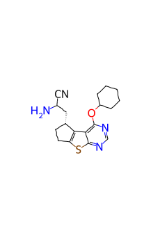 N#CC(N)C[C@H]1CCc2sc3ncnc(OC4CCCCC4)c3c21